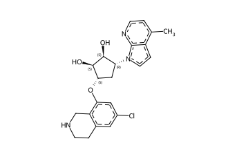 Cc1ccnc2c1ccn2[C@@H]1C[C@H](Oc2cc(Cl)cc3c2CNCC3)[C@@H](O)[C@H]1O